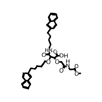 COC(=O)CNC(=O)COC(C(=O)O)C(OCCCCCc1ccc2ccccc2c1)C(=O)NCCCCCc1ccc2ccccc2c1